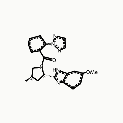 COc1ccc2nc([C@@H]3C[C@@H](C)CN3C(=O)c3ccccc3-n3nccn3)[nH]c2c1